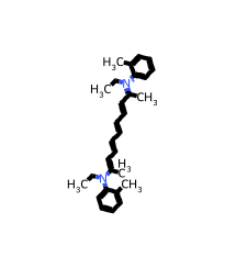 CCN(/C(C)=C/C=C/C=C/C=C/C(C)=[N+](\CC)c1ccccc1C)c1ccccc1C